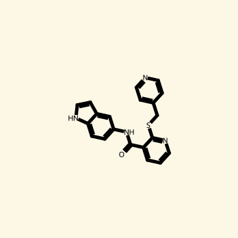 O=C(Nc1ccc2[nH]ccc2c1)c1cccnc1SCc1ccncc1